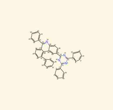 c1ccc(-c2nc(-c3ccccc3)nc(-c3ccc4nc(-c5ccccc5)c5cccc(-c6ccccc6)c5c4c3)n2)cc1